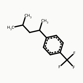 CC(C)CC(C)c1ccc(C(F)(F)F)cc1